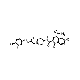 NC1(n2cc(C(=O)NC3CCN(C[C@H](O)COc4ccc(Cl)c(F)c4)CC3)c(=O)c3cc(F)c(Cl)cc32)CC1